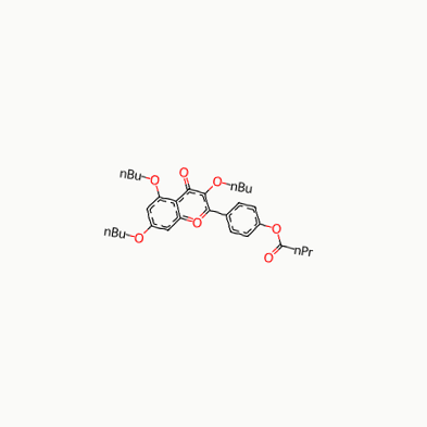 CCCCOc1cc(OCCCC)c2c(=O)c(OCCCC)c(-c3ccc(OC(=O)CCC)cc3)oc2c1